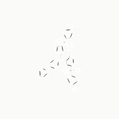 Oc1ccc(C(C2=CC(C(c3ccc(-c4ccccc4)cc3)c3cc(C(c4ccc(O)cc4)(C(F)(F)F)C(F)(F)F)ccc3O)C=C2)(C(F)(F)F)C(F)(F)F)cc1